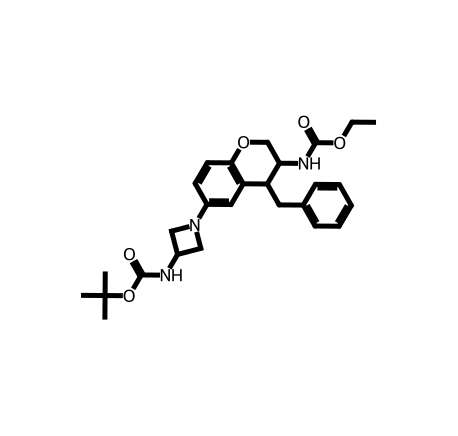 CCOC(=O)NC1COc2ccc(N3CC(NC(=O)OC(C)(C)C)C3)cc2C1Cc1ccccc1